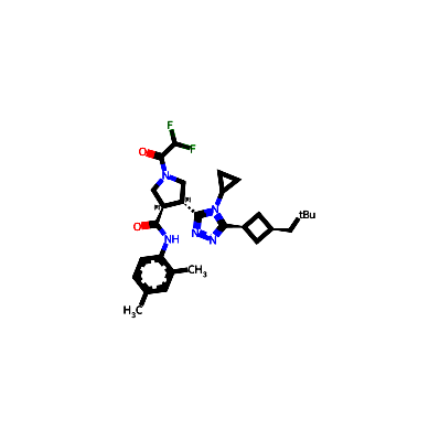 Cc1ccc(NC(=O)[C@H]2CN(C(=O)C(F)F)C[C@@H]2c2nnc([C@H]3C[C@@H](CC(C)(C)C)C3)n2C2CC2)c(C)c1